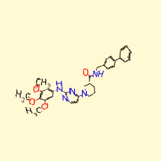 COc1cc(Nc2nccc(N3CCC[C@H](C(=O)NCc4ccc(-c5ccccc5)cc4)C3)n2)cc(OC)c1OC